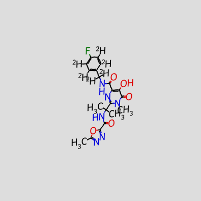 [2H]c1c([2H])c(C([2H])([2H])NC(=O)c2nc(C(C)(C)NC(=O)c3nnc(C)o3)n(C)c(=O)c2O)c([2H])c([2H])c1F